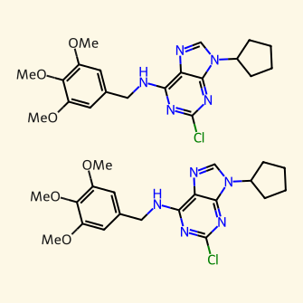 COc1cc(CNc2nc(Cl)nc3c2ncn3C2CCCC2)cc(OC)c1OC.COc1cc(CNc2nc(Cl)nc3c2ncn3C2CCCC2)cc(OC)c1OC